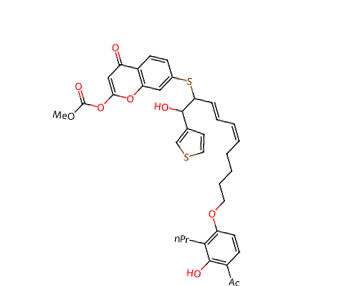 CCCc1c(OCCCC/C=C\C=C\C(Sc2ccc3c(=O)cc(OC(=O)OC)oc3c2)C(O)c2ccsc2)ccc(C(C)=O)c1O